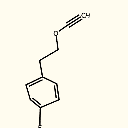 C#COCCc1ccc(F)cc1